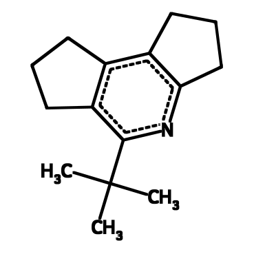 CC(C)(C)c1nc2c(c3c1CCC3)CCC2